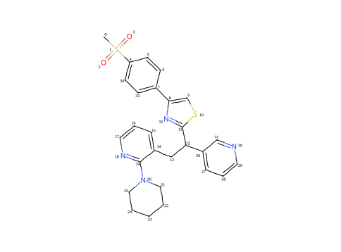 CS(=O)(=O)c1ccc(-c2csc(C(Cc3cccnc3N3CCCCC3)c3cccnc3)n2)cc1